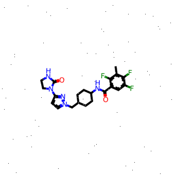 Cc1c(F)c(F)cc(C(=O)NC2CCC(Cn3ccc(N4CCNC4=O)n3)CC2)c1F